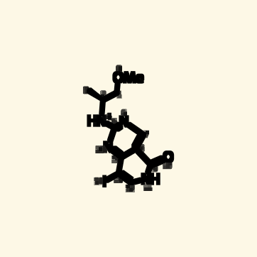 COC[C@H](C)Nc1ncc2c(=O)[nH]cc(I)c2n1